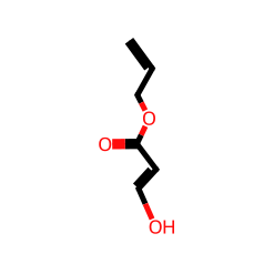 C=CCOC(=O)C=CO